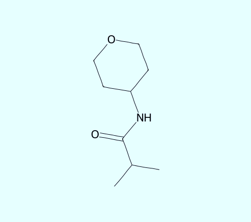 CC(C)C(=O)NC1CCOCC1